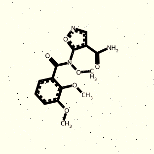 COc1cccc(C(=O)N(OC)c2oncc2C(N)=O)c1OC